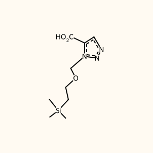 C[Si](C)(C)CCOCn1nncc1C(=O)O